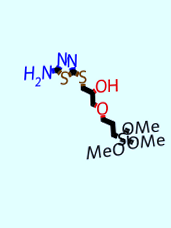 CO[Si](CCCOCC(O)CSc1nnc(N)s1)(OC)OC